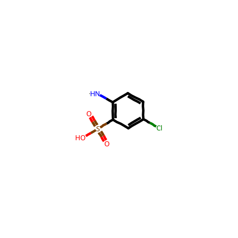 [NH]c1ccc(Cl)cc1S(=O)(=O)O